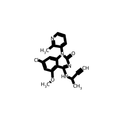 C#CC(C)Nc1nc(=O)n(-c2cccnc2C)c2cc(Cl)cc(OC)c12